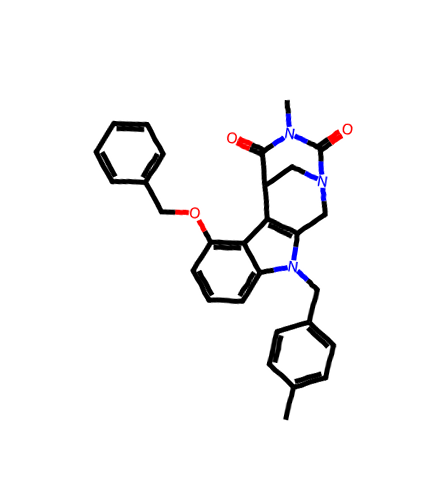 Cc1ccc(Cn2c3c(c4c(OCc5ccccc5)cccc42)C2CN(C3)C(=O)N(C)C2=O)cc1